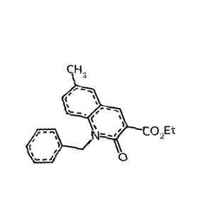 CCOC(=O)c1cc2cc(C)ccc2n(Cc2ccccc2)c1=O